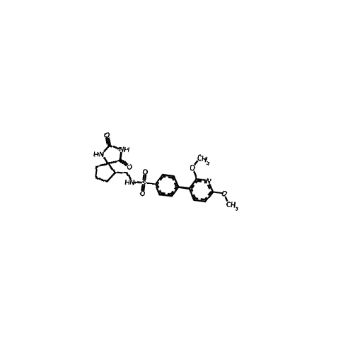 COc1ccc(-c2ccc(S(=O)(=O)NCC3CCCC34NC(=O)NC4=O)cc2)c(OC)n1